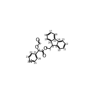 O=[C]OC(C(=O)OCC1c2ccccc2-c2ccccc21)c1ccncc1